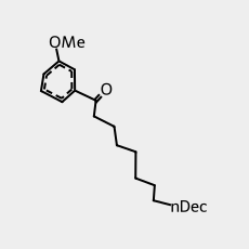 CCCCCCCCCCCCCCCCCC(=O)c1cccc(OC)c1